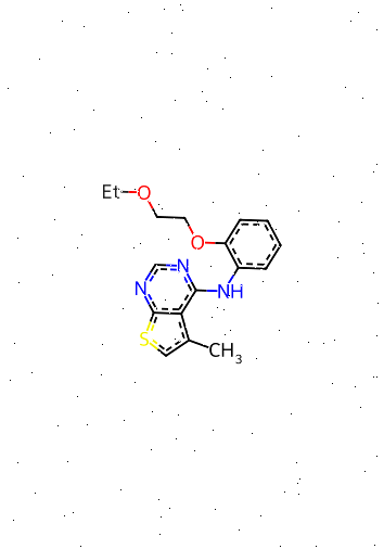 CCOCCOc1ccccc1Nc1ncnc2scc(C)c12